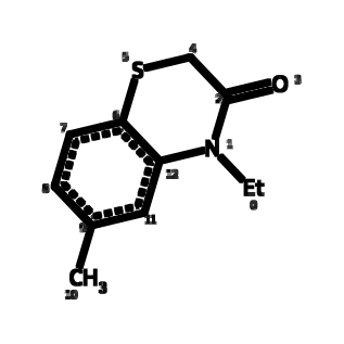 CCN1C(=O)CSc2ccc(C)cc21